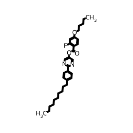 CCCCCCCCCCc1ccc(-c2ncc(OC(=O)c3ccc(OCCCCC)cc3F)cn2)cc1